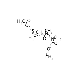 CCCOCCC(=O)N(C)CCN(C)C(=O)CCC(C)(C)SSCCOC(C)=O